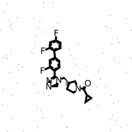 O=C(C1CC1)N1CC[C@@H](Cn2cnnc2-c2ccc(-c3ccc(F)cc3F)cc2F)C1